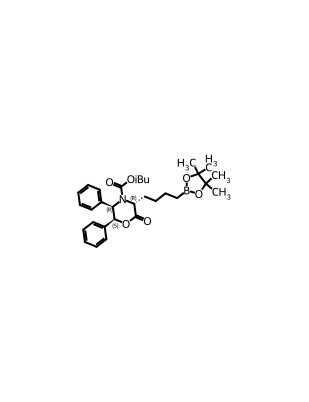 CC(C)COC(=O)N1[C@H](CCCCB2OC(C)(C)C(C)(C)O2)C(=O)O[C@@H](c2ccccc2)[C@H]1c1ccccc1